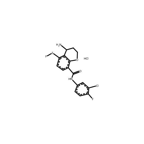 Cl.NC1CCOc2c(C(=O)Nc3ccc(F)c(Cl)c3)ccc(SF)c21